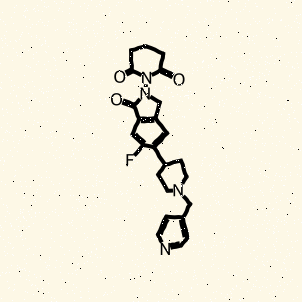 O=C1c2cc(F)c(C3CCN(Cc4ccncc4)CC3)cc2CN1N1C(=O)CCCC1=O